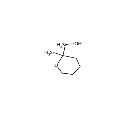 O[SiH2]C1([SiH3])CCCCO1